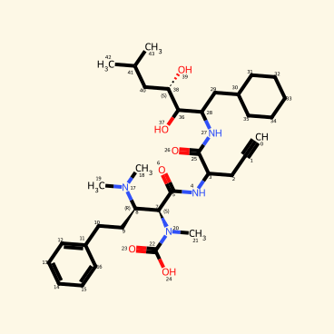 C#CCC(NC(=O)[C@H]([C@@H](CCc1ccccc1)N(C)C)N(C)C(=O)O)C(=O)NC(CC1CCCCC1)C(O)[C@@H](O)CC(C)C